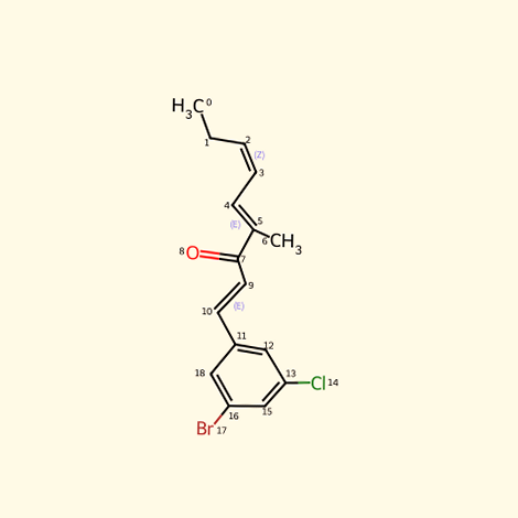 CC/C=C\C=C(/C)C(=O)/C=C/c1cc(Cl)cc(Br)c1